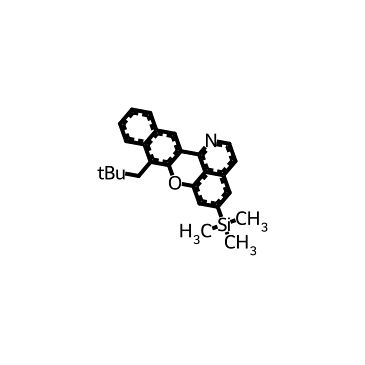 CC(C)(C)Cc1c2c(cc3ccccc13)-c1nccc3cc([Si](C)(C)C)cc(c13)O2